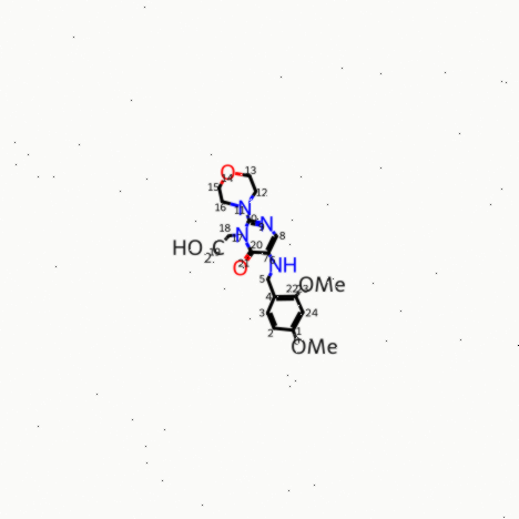 COc1ccc(CNc2cnc(N3CCOCC3)n(CC(=O)O)c2=O)c(OC)c1